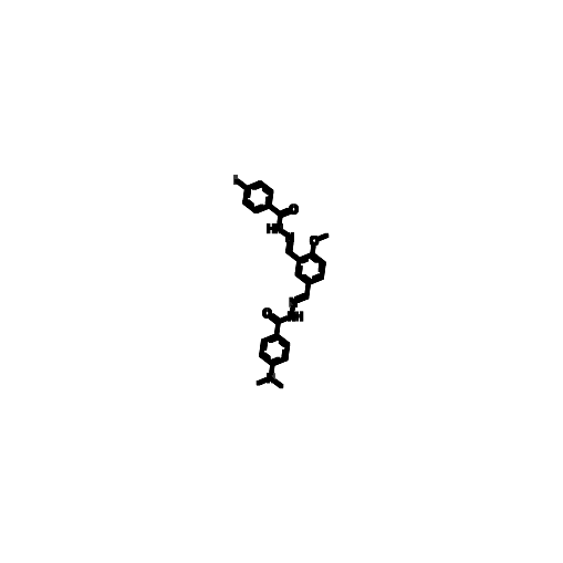 COc1ccc(/C=N/NC(=O)c2ccc(N(C)C)cc2)cc1/C=N/NC(=O)c1ccc(I)cc1